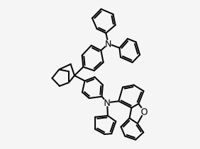 c1ccc(N(c2ccccc2)c2ccc(C3(c4ccc(N(c5ccccc5)c5cccc6oc7ccccc7c56)cc4)CC4CCC3C4)cc2)cc1